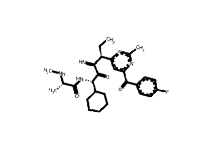 CC[C@H](C(=N)C(=O)[C@@H](NC(=O)[C@H](C)NC)C1CCCCC1)c1cc(C(=O)c2ccc(F)cc2)nc(C)n1